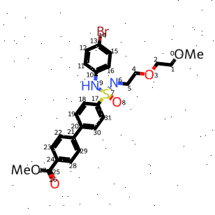 COCCOCCN=S(=O)(Nc1ccc(Br)cc1)c1ccc(-c2ccc(C(=O)OC)cc2)cc1